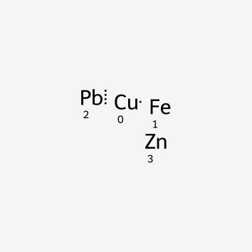 [Cu].[Fe].[Pb].[Zn]